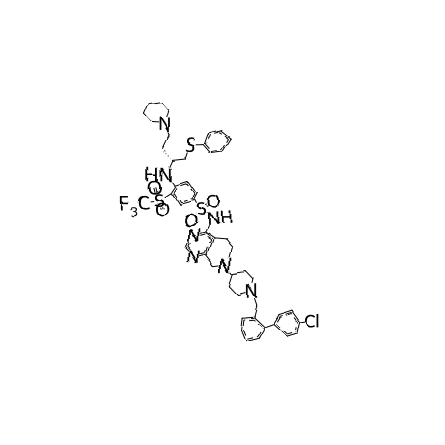 O=S(=O)(Nc1ncnc2c1CCN(C1CCN(Cc3ccccc3-c3ccc(Cl)cc3)CC1)C2)c1ccc(N[C@H](CCN2CCCCC2)CSc2ccccc2)c(S(=O)(=O)C(F)(F)F)c1